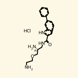 Cl.NCCOC[C@H](N)CNC(=O)c1cc2ccc(-c3ccccc3)cc2[nH]1